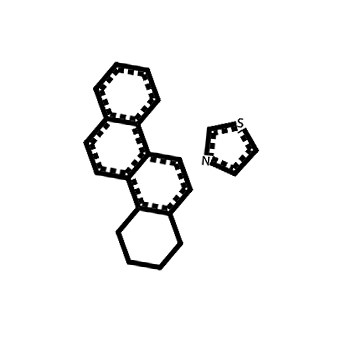 c1ccc2c(c1)ccc1c3c(ccc12)CCCC3.c1cscn1